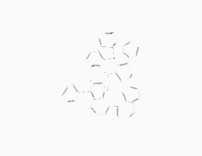 c1ccc(-c2nc(N3c4ccccc4C(c4ccccc4)(c4ccccc4)c4ccccc43)nc3c2ccc2oc4ccc5ccccc5c4c23)cc1